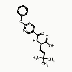 CC(C)(C)/C=C/[C@@H](NC(=O)c1cnc(Oc2ccccc2)nc1)C(=O)O